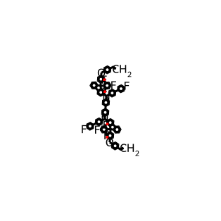 C=Cc1ccc(Oc2ccc(C3(c4c(F)cc(F)cc4F)c4ccccc4-c4ccc(N(c5ccc(-c6ccc(F)cc6)cc5)c5ccc(-c6ccc(N(c7ccc(-c8ccc(F)cc8)cc7)c7ccc8c(c7)C(c7ccc(Oc9ccc(C=C)cc9)cc7)(c7c(F)cc(F)cc7F)c7ccccc7-8)cc6)cc5)cc43)cc2)cc1